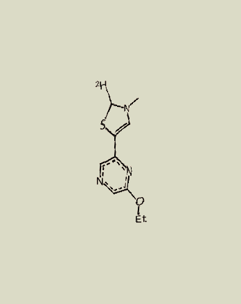 [2H]C1SC(c2cncc(OCC)n2)=CN1C